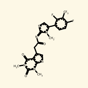 [CH2]n1c(-c2ccc(F)c(C(F)(F)F)c2F)csc1=NC(=O)Cc1csc2c1c(=O)n(C)c(=O)n2C